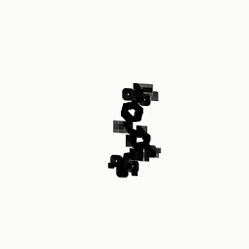 COP(=O)(CNc1nc(Nc2ccc(S(N)(=O)=O)cc2)ncc1Br)OC